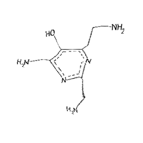 NCc1nc(N)c(O)c(CN)n1